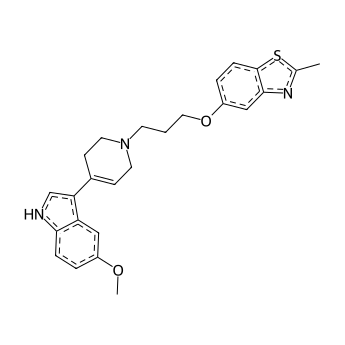 COc1ccc2[nH]cc(C3=CCN(CCCOc4ccc5sc(C)nc5c4)CC3)c2c1